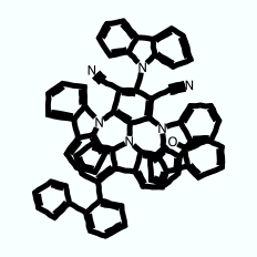 N#Cc1c(-n2c3ccccc3c3ccccc32)c(C#N)c(-n2c3ccccc3c3ccccc32)c(-n2c3cccc(-c4ccccc4-c4ccccc4)c3c3ccc4c5ccccc5oc4c32)c1-n1c2ccccc2c2ccccc21